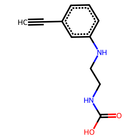 C#Cc1cccc(NCCNC(=O)O)c1